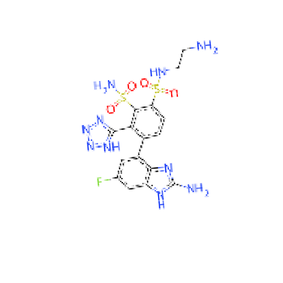 NCCNS(=O)(=O)c1ccc(-c2cc(F)cc3[nH]c(N)nc23)c(-c2nnn[nH]2)c1S(N)(=O)=O